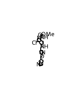 COC(=O)Nc1ncc(Cl)c2cc(NCc3ccc(OCC4CCn5ccnc5C4)nc3)ccc12